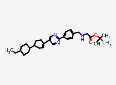 CCC1CCC(C2CC=C(c3cnc(-c4ccc(CNCC(=O)OC(C)(C)C)cc4)nc3)CC2)CC1